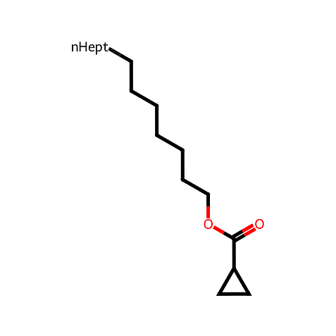 CCCCCCCCCCCCCCOC(=O)C1CC1